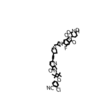 CC1(C)[C@H](Oc2ccc(C#N)c(Cl)c2)C(C)(C)[C@H]1N1Cc2nc(C#CC3CCN(CC4CN(c5cc6c(cc5F)C(=O)N(C5CCC(=O)NC5=O)C6=O)C4)CC3)ccc2C1=O